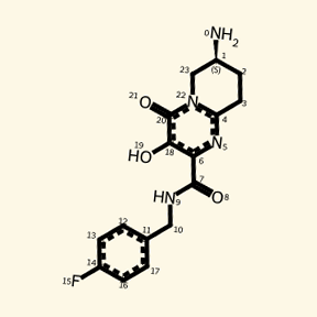 N[C@H]1CCc2nc(C(=O)NCc3ccc(F)cc3)c(O)c(=O)n2C1